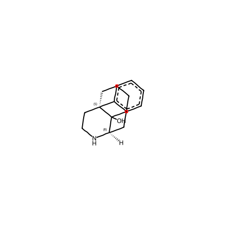 OC12CCCC[C@@]13CCN[C@@H]2Cc1ccccc13